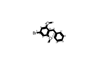 COc1cc(Br)cc(OC)c1Cc1ccccc1